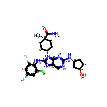 C[C@]1(C(N)=O)CC[C@H](n2c(Nc3c(F)cc(F)cc3Cl)nc3cnc(N[C@@H]4CC[C@@H](O)C4)nc32)CC1